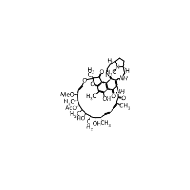 CO[C@H]1/C=C/O[C@@]2(C)Oc3c(C)c(O)c4c(c3C2=O)/C2=N/CC[C@H]3CC[C@@H](CNC2=C(NC(=O)/C(C)=C\C=C\[C@H](C)[C@H](O)[C@@H](C)[C@@H](O)[C@@H](C)[C@H](OC(C)=O)[C@@H]1C)C4=O)N3C